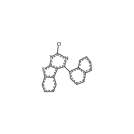 Clc1nc(-c2cccc3ccccc23)c2c(n1)sc1ccccc12